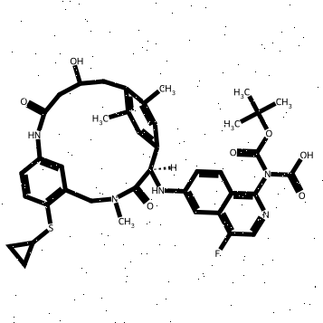 Cc1cc2cc(C)c1CC(O)CC(=O)Nc1ccc(SC3CC3)c(c1)CN(C)C(=O)[C@@H]2Nc1ccc2c(N(C(=O)O)C(=O)OC(C)(C)C)ncc(F)c2c1